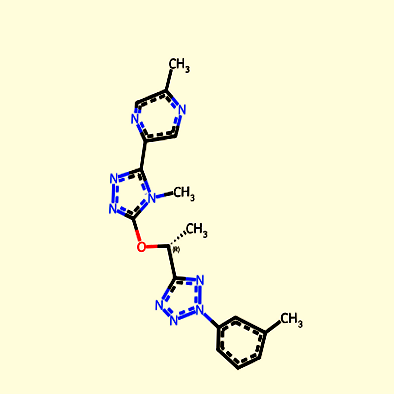 Cc1cccc(-n2nnc([C@@H](C)Oc3nnc(-c4cnc(C)cn4)n3C)n2)c1